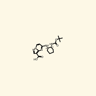 CC(C)(C)OC(=O)N[C@H]1CCCC[C@H]1Nc1ccn2ncc(C(=O)O)c2n1